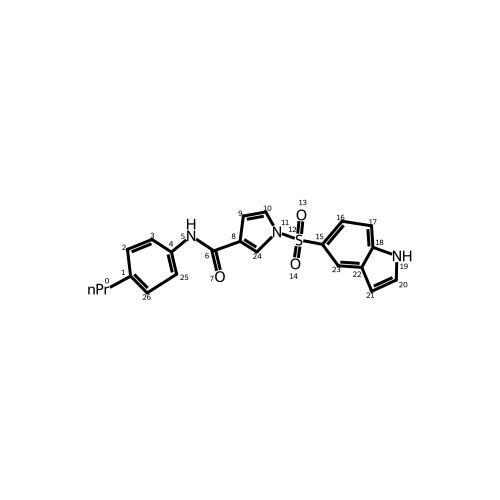 CCCc1ccc(NC(=O)c2ccn(S(=O)(=O)c3ccc4[nH]ccc4c3)c2)cc1